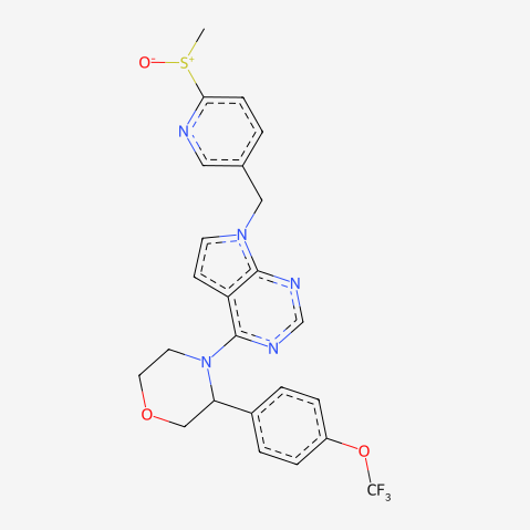 C[S+]([O-])c1ccc(Cn2ccc3c(N4CCOCC4c4ccc(OC(F)(F)F)cc4)ncnc32)cn1